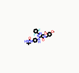 COc1ccc(CN2Cc3nc(-c4c(F)cccc4F)nc(Nc4ccc(N5CC(C)(C)NC5=O)cc4)c3C2=O)c(OC)c1